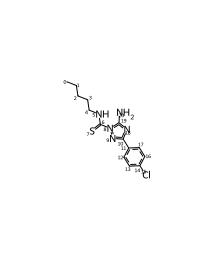 CCCCCNC(=S)n1nc(-c2ccc(Cl)cc2)nc1N